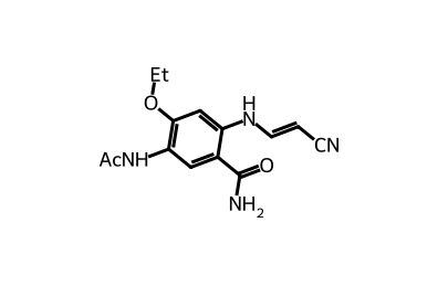 CCOc1cc(NC=CC#N)c(C(N)=O)cc1NC(C)=O